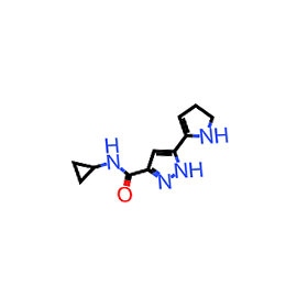 O=C(NC1CC1)c1cc(C2=CCCN2)[nH]n1